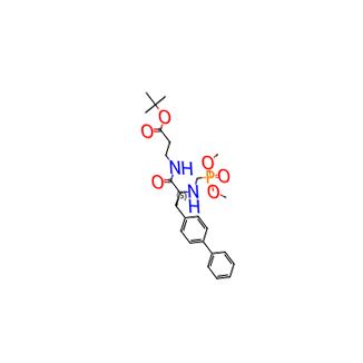 COP(=O)(CN[C@@H](Cc1ccc(-c2ccccc2)cc1)C(=O)NCCC(=O)OC(C)(C)C)OC